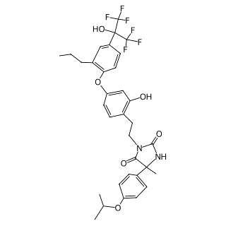 CCCc1cc(C(O)(C(F)(F)F)C(F)(F)F)ccc1Oc1ccc(CCN2C(=O)NC(C)(c3ccc(OC(C)C)cc3)C2=O)c(O)c1